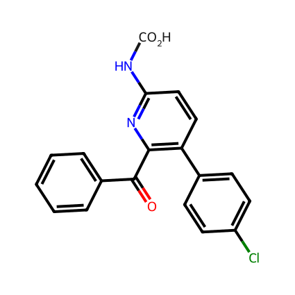 O=C(O)Nc1ccc(-c2ccc(Cl)cc2)c(C(=O)c2ccccc2)n1